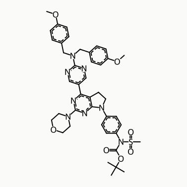 COc1ccc(CN(Cc2ccc(OC)cc2)c2ncc(-c3nc(N4CCOCC4)nc4c3CCN4c3ccc(N(C(=O)OC(C)(C)C)S(C)(=O)=O)cc3)cn2)cc1